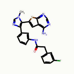 Cn1cnc(-c2cccc(NC(=O)Cc3cccc(F)c3)c2)c1-c1cc2c(N)ncnc2s1